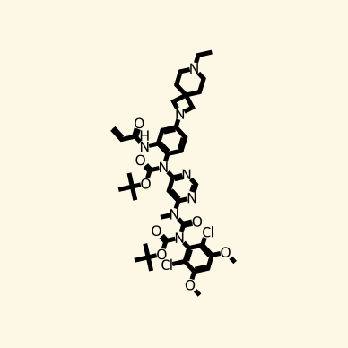 C=CC(=O)Nc1cc(N2CC3(CCN(CC)CC3)C2)ccc1N(C(=O)OC(C)(C)C)c1cc(N(C)C(=O)N(C(=O)OC(C)(C)C)c2c(Cl)c(OC)cc(OC)c2Cl)ncn1